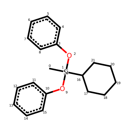 C[Si](Oc1ccccc1)(Oc1ccccc1)C1CCCCC1